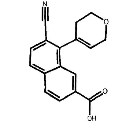 N#Cc1ccc2ccc(C(=O)O)cc2c1C1=CCOCC1